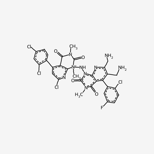 CN1C(=O)c2c(-c3ccc(Cl)cc3Cl)cc(Cl)nc2[N+](C)(Nn2c(=O)n(C)c(=O)c3c(-c4cc(F)ccc4Cl)c(CN)c(CN)nc32)C1=O